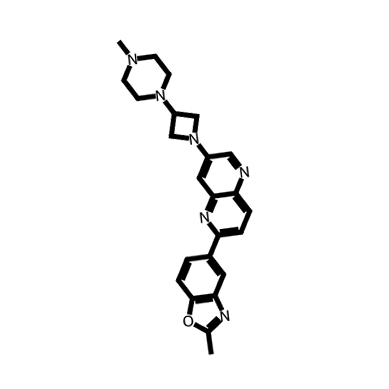 Cc1nc2cc(-c3ccc4ncc(N5CC(N6CCN(C)CC6)C5)cc4n3)ccc2o1